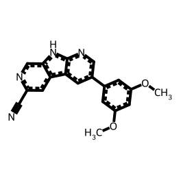 COc1cc(OC)cc(-c2cnc3[nH]c4cnc(C#N)cc4c3c2)c1